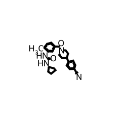 Cc1ccc(C(=O)N2CCC(c3ccc(C#N)cc3)CC2)cc1NC(=O)NC1CCCC1